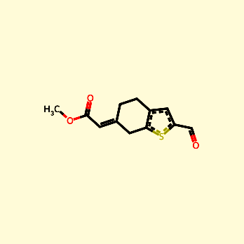 COC(=O)C=C1CCc2cc(C=O)sc2C1